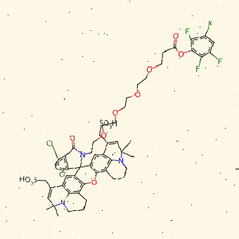 CC1(C)C=C(CS(=O)(=O)O)c2cc3c(c4c2N1CCC4)Oc1c(cc2c4c1CCCN4C(C)(C)C=C2CS(=O)(=O)O)C31c2c(Cl)ccc(Cl)c2C(=O)N1CCOCCOCCOCCOCCC(=O)Oc1c(F)c(F)cc(F)c1F